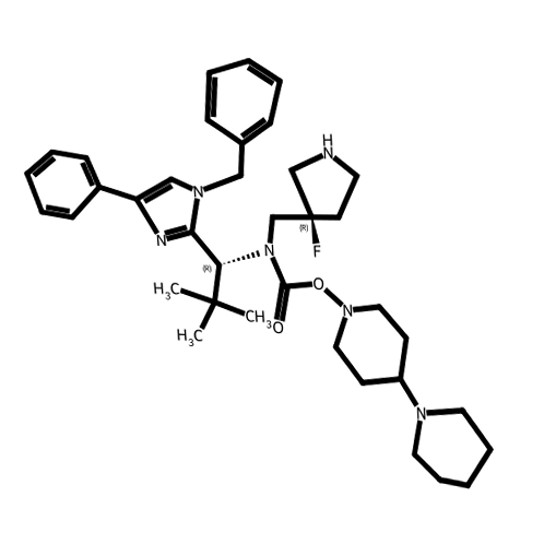 CC(C)(C)[C@H](c1nc(-c2ccccc2)cn1Cc1ccccc1)N(C[C@@]1(F)CCNC1)C(=O)ON1CCC(N2CCCCC2)CC1